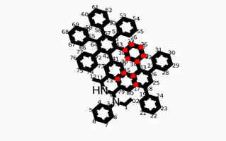 CCN(c1ccccc1)C(NC(C)c1cc(-c2cc(-c3ccccc3)cc(-c3ccccc3)c2-c2ccccc2)cc(-c2c(-c3ccccc3)c(-c3ccccc3)c(-c3ccccc3)c(-c3ccccc3)c2-c2ccccc2)c1)c1ccccc1